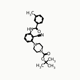 Cc1cccc(C(=O)Nc2cccc(N3CCN(C(=O)OC(C)(C)C)CC3)c2C#N)c1